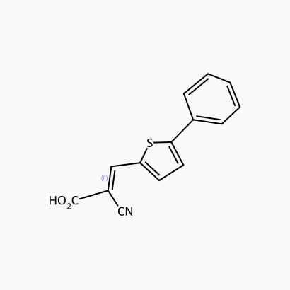 N#C/C(=C\c1ccc(-c2ccccc2)s1)C(=O)O